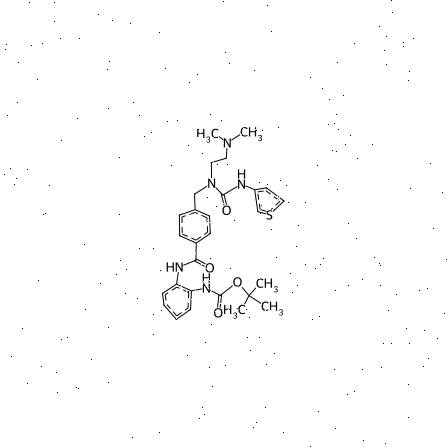 CN(C)CCN(Cc1ccc(C(=O)Nc2ccccc2NC(=O)OC(C)(C)C)cc1)C(=O)Nc1ccsc1